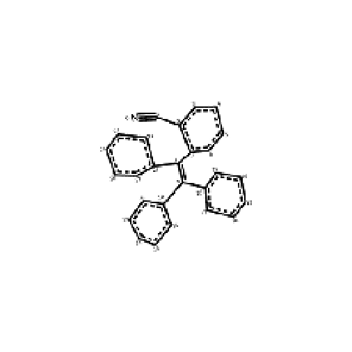 N#Cc1ccccc1C(=C(c1ccccc1)c1ccccc1)c1ccccc1